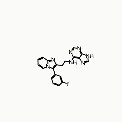 Fc1cccc(-c2c(CCNc3ncnc4[nH]cnc34)nc3ccccn23)c1